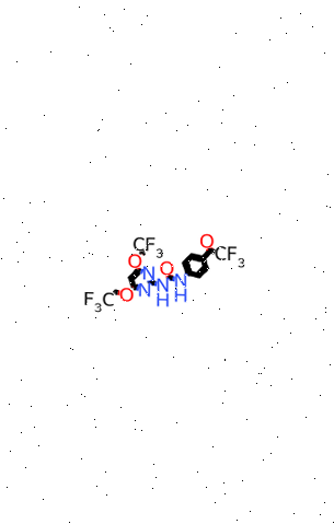 O=C(Nc1ccc(C(=O)C(F)(F)F)cc1)Nc1nc(OCC(F)(F)F)cc(OCC(F)(F)F)n1